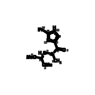 COC(OC)[SiH2]N(C)C(=O)c1c[nH]c(C(C)C)n1